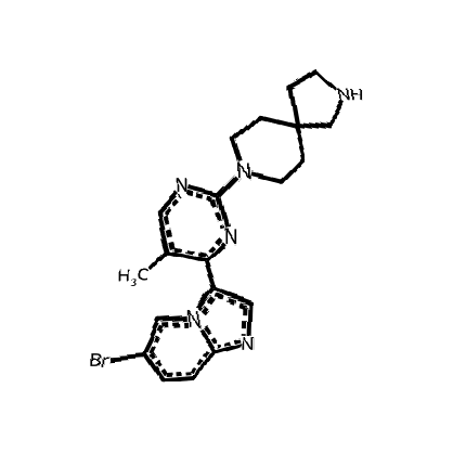 Cc1cnc(N2CCC3(CCNC3)CC2)nc1-c1cnc2ccc(Br)cn12